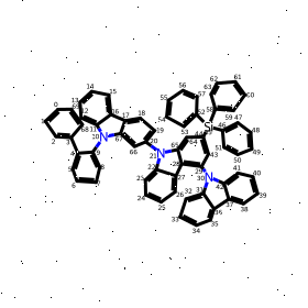 c1ccc(-c2ccccc2-n2c3ccccc3c3ccc(-n4c5ccccc5c5c(-n6c7ccccc7c7ccccc76)cc([Si](c6ccccc6)(c6ccccc6)c6ccccc6)cc54)cc32)cc1